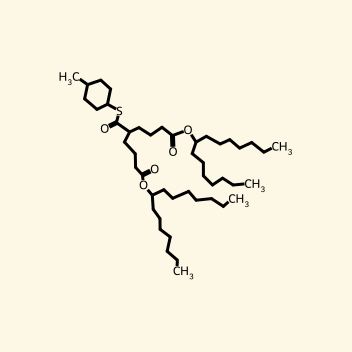 CCCCCCCC(CCCCCCC)OC(=O)CCCC(CCCC(=O)OC(CCCCCCC)CCCCCCC)C(=O)SC1CCC(C)CC1